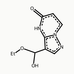 CCOC(O)c1cnn2ccc(=O)[nH]c12